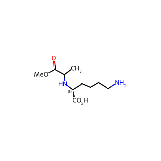 COC(=O)C(C)N[C@@H](CCCCN)C(=O)O